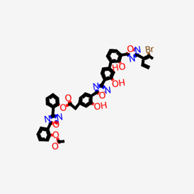 C=C/C(=C(\C)Br)c1noc(-c2cccc(-c3ccc(-c4noc(-c5ccc(CC(=O)Oc6ccccc6-c6noc(-c7ccccc7OC(C)=O)n6)cc5O)n4)c(O)c3)c2O)n1